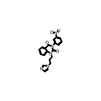 O=c1c2ccccc2n(CCCn2ccnc2)c(=O)n1-c1cccc([N+](=O)[O-])c1